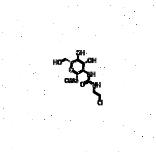 CO[C@@H]1O[C@H](CO)[C@@H](O)[C@H](O)[C@H]1NC(=O)NCCCl